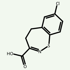 O=C(O)C1=NSc2ccc(Cl)cc2CC1